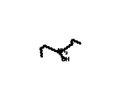 CCCCC/C=C\C/C=C\CCCCCCCCCC(N)(CCCCO)CCCCCCCC/C=C\C/C=C\CCCCC